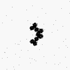 c1ccc2c(c1)c1ccccc1n2-c1ccc(-n2c3ccccc3c3c4c5ccccc5n(-c5ccc(-n6c7ccccc7c7ccccc76)cc5)c4ccc32)cc1